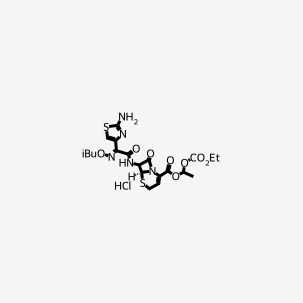 CCOC(=O)OC(C)OC(=O)C1=CCS[C@H]2C(NC(=O)C(=NOCC(C)C)c3csc(N)n3)C(=O)N12.Cl